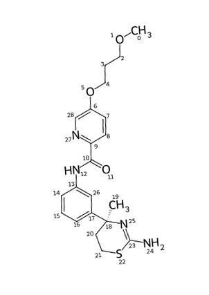 COCCCOc1ccc(C(=O)Nc2cccc([C@]3(C)CCSC(N)=N3)c2)nc1